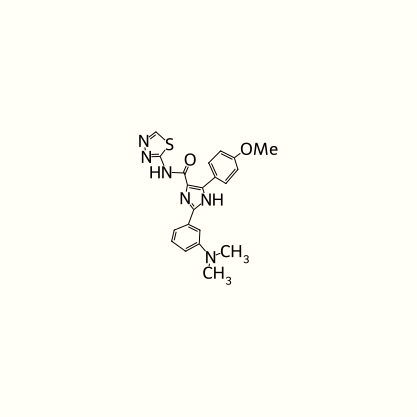 COc1ccc(-c2[nH]c(-c3cccc(N(C)C)c3)nc2C(=O)Nc2nncs2)cc1